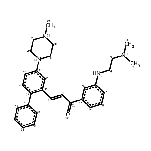 CN(C)CCNc1cccc(C(=O)C=Cc2cc(N3CCN(C)CC3)ccc2-c2ccccc2)c1